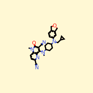 CN(c1c(C#N)c(=O)n(C)c2ccc(C#N)nc12)C1CCC(N(CC2CC2)c2ccc3c(c2)COC3)CC1